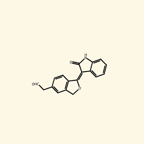 O=CCc1ccc2c(c1)COC2=C1C(=O)Nc2ccccc21